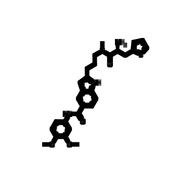 COc1ccc(NC(=O)c2ccc3[nH]c(CCCN(C)C(=O)[C@@H](N)Cc4cccs4)cc3c2)cc1OC